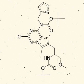 COC[C@@H](Cc1cc2c(N(Cc3cccs3)C(=O)OC(C)(C)C)nc(Cl)nn2c1C)NC(=O)OC(C)(C)C